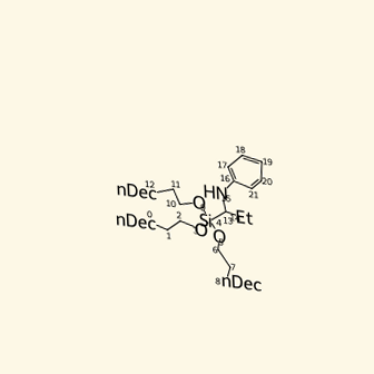 CCCCCCCCCCCCO[Si](OCCCCCCCCCCCC)(OCCCCCCCCCCCC)C(CC)Nc1ccccc1